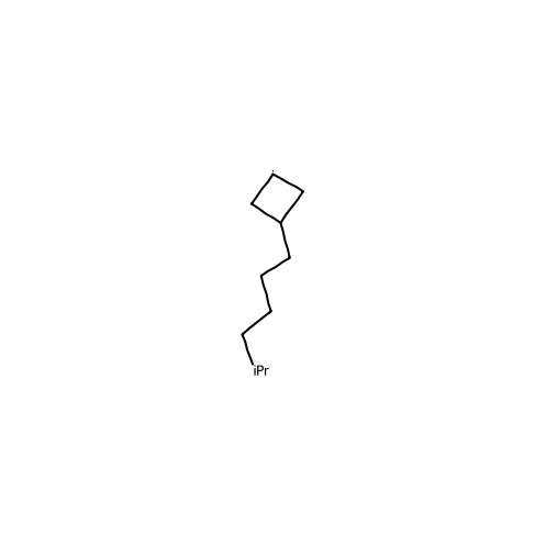 CC(C)CCCCC1C[CH]C1